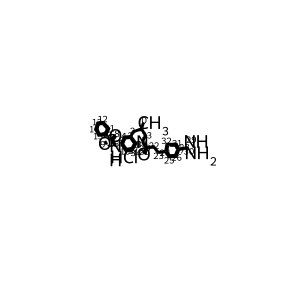 CC1Cc2cc(NS(=O)(=O)c3ccccc3)ccc2N(C(=O)CCc2ccc(C(=N)N)cc2)C1.Cl